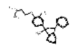 Cc1cc(C(C)(CC(=O)c2ccccc2)c2ccccc2)ccc1OCCN(C)C